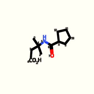 CC(C)(CC(=O)O)NC(=O)C1CCCC1